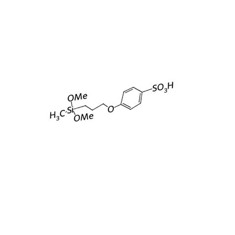 CO[Si](C)(CCCOc1ccc(S(=O)(=O)O)cc1)OC